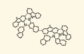 c1ccc2cc(N3c4cc5ccc(-c6ccc7c(c6)sc6cc8c9c(c67)N(c6ccc7ccccc7c6)c6ccc7ccccc7c6B9n6c7ccccc7c7cccc-8c76)cc5cc4B4c5c(cc6sc7ccccc7c6c53)-c3cccc5c6ccccc6n4c35)ccc2c1